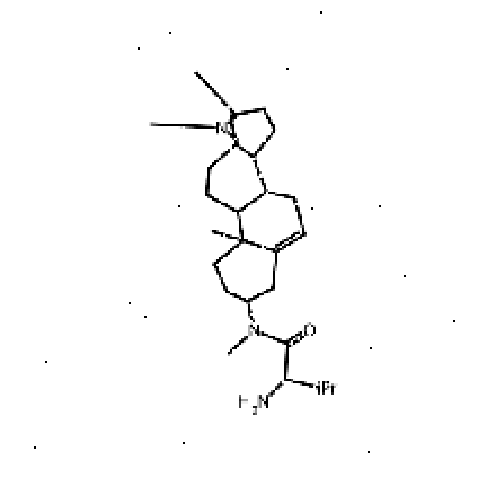 CC(C)C(N)C(=O)N(C)C1CCC2(C)C(=CCC3C2CCC24CN(C)C(C)C2CCC34)C1